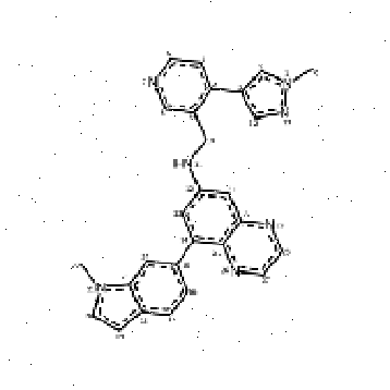 Cn1cc(-c2ccncc2CNc2cc(-c3ccc4ccn(C)c4c3)c3nccnc3c2)cn1